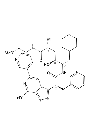 CCCc1nc(-c2cccnc2)cn2c([C@H](Cc3cccnc3)C(=O)N[C@@H](CC3CCCCC3)[C@@H](O)C[C@H](C(=O)NCCOC)C(C)C)nnc12